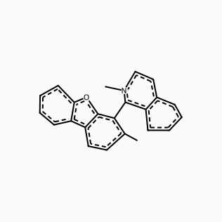 Cc1ccc2c(oc3ccccc32)c1-c1c2ccccc2cc[n+]1C